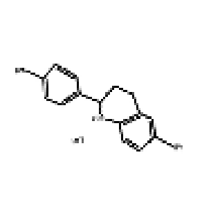 CC(C)c1ccc2c(c1)CCC(c1ccc(C(C)(C)C)cc1)N2.Cl